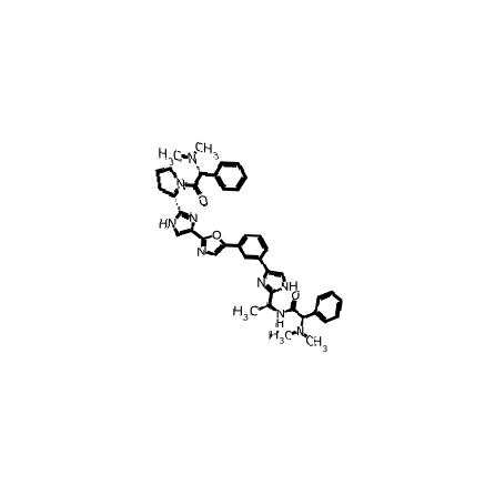 C[C@H](NC(=O)[C@@H](c1ccccc1)N(C)C)c1nc(-c2cccc(-c3cnc(-c4c[nH]c([C@@H]5CCCN5C(=O)[C@@H](c5ccccc5)N(C)C)n4)o3)c2)c[nH]1